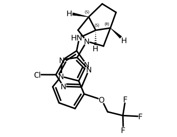 FC(F)(F)COc1cccn2nc(N[C@@H]3[C@@H]4CC[C@H]3CN(c3cc(Cl)ncn3)C4)nc12